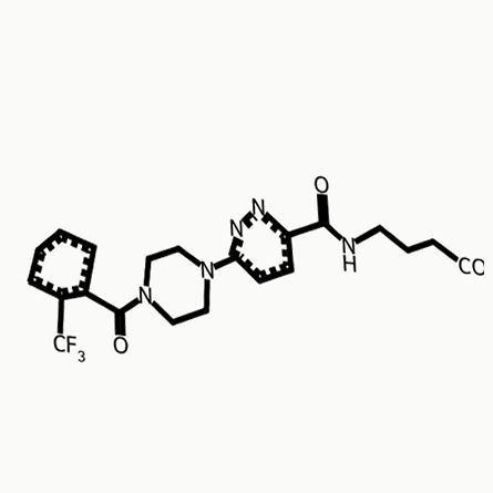 CCOC(=O)CCCNC(=O)c1ccc(N2CCN(C(=O)c3ccccc3C(F)(F)F)CC2)nn1